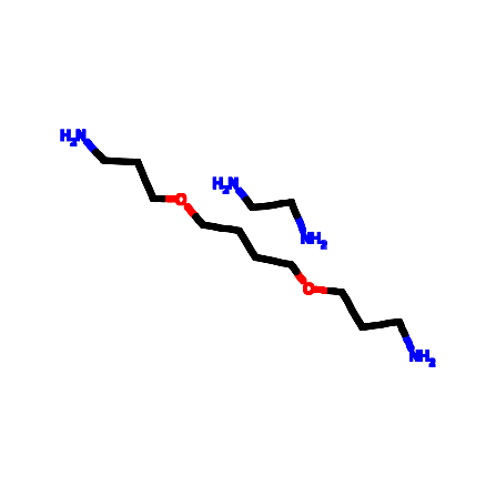 NCCCOCCCCOCCCN.NCCN